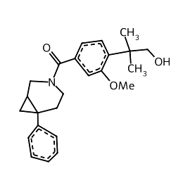 COc1cc(C(=O)N2CCC3(c4ccccc4)CC3C2)ccc1C(C)(C)CO